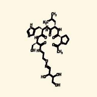 CC(=O)N1CCC[C@H]1C(=O)N[C@@H](CC(C)C)C(=O)N[C@@H](Cc1cnc[nH]1)C(=O)N[C@@H](CO)C(=O)NCCO/N=C/C(O)C(O)CO